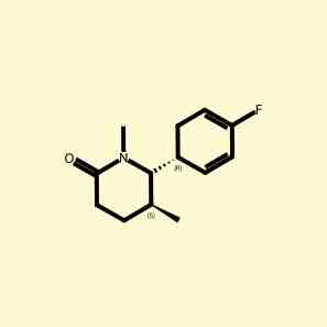 C[C@H]1CCC(=O)N(C)C1[C@H]1C=CC(F)=CC1